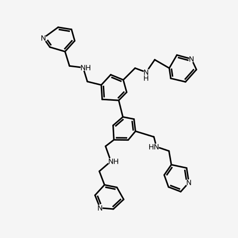 c1cncc(CNCc2cc(CNCc3cccnc3)cc(-c3cc(CNCc4cccnc4)cc(CNCc4cccnc4)c3)c2)c1